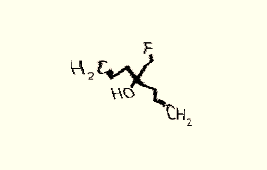 C=CCC(O)(CF)CC=C